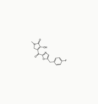 CN1CC(C(=O)c2ncc(Cc3ccc(F)cc3)o2)=C(O)C1=O